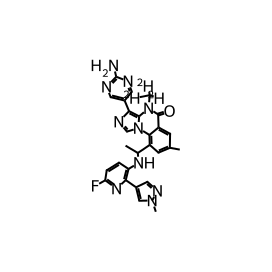 [2H]C([2H])([2H])n1c(=O)c2cc(C)cc(C(C)Nc3ccc(F)nc3-c3cnn(C)c3)c2n2cnc(-c3cnc(N)nc3)c12